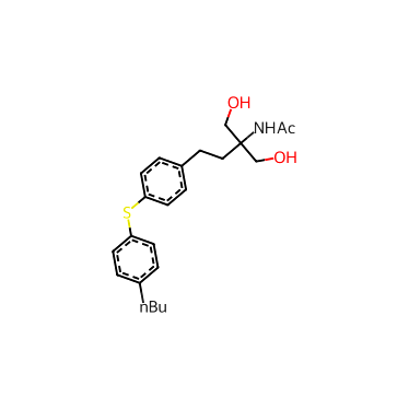 CCCCc1ccc(Sc2ccc(CCC(CO)(CO)NC(C)=O)cc2)cc1